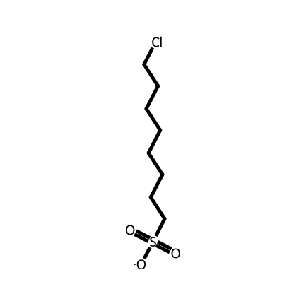 [O]S(=O)(=O)CCCCCCCCCl